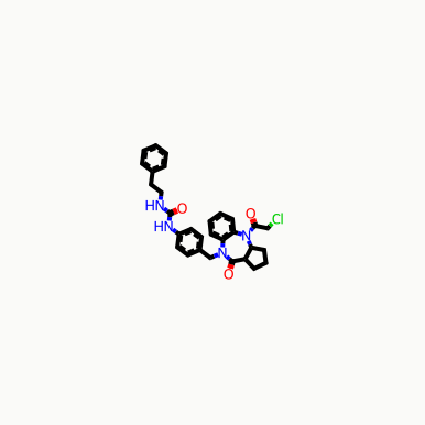 O=C(NCCc1ccccc1)Nc1ccc(CN2C(=O)C3CCCC3N(C(=O)CCl)c3ccccc32)cc1